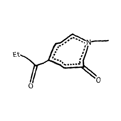 CCC(=O)c1ccn(C)c(=O)c1